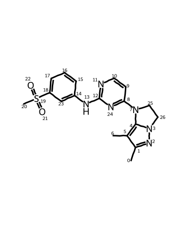 Cc1nn2c(c1C)N(c1ccnc(Nc3cccc(S(C)(=O)=O)c3)n1)CC2